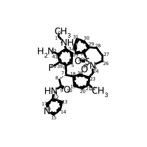 CCNc1ccc([C@@H](CC(=O)Nc2cccnc2)c2ccc(C)c(CN3CCCc4ccccc4S3(=O)=O)c2)c(F)c1N